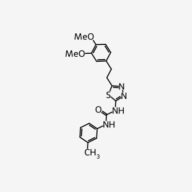 COc1ccc(CCc2nnc(NC(=O)Nc3cccc(C)c3)s2)cc1OC